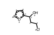 OC(CCCl)c1ccno1